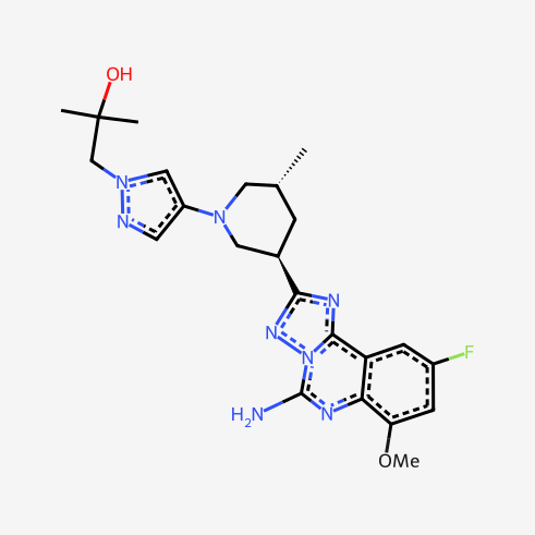 COc1cc(F)cc2c1nc(N)n1nc([C@@H]3C[C@@H](C)CN(c4cnn(CC(C)(C)O)c4)C3)nc21